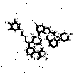 Cc1cc(N2C[C@@H](C)n3c(c(CCCOc4cc(C)c(Cl)c(C)c4)c4ccc(Cl)c(-c5c(C)nn(C)c5C)c43)C2=O)c2c(c1)cc(C(=O)O)n2Cc1cccc(N2CCN(C)CC2)n1